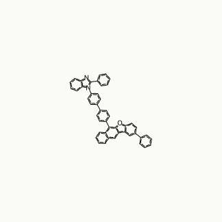 c1ccc(-c2ccc3oc4c(-c5ccc(-c6ccc(-n7c(-c8ccccc8)nc8ccccc87)cc6)cc5)c5ccccc5cc4c3c2)cc1